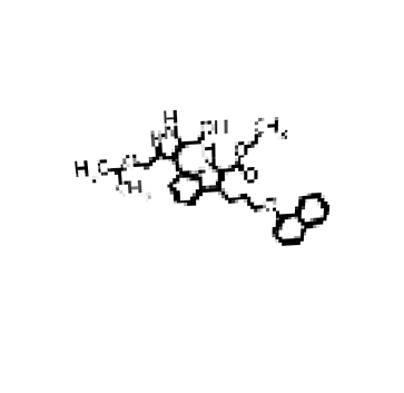 CCOC(=O)c1[nH]c2c(-c3c(COC(C)C)n[nH]c3CO)cccc2c1CCCOc1cccc2ccccc12